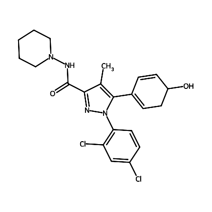 Cc1c(C(=O)NN2CCCCC2)nn(-c2ccc(Cl)cc2Cl)c1C1=CCC(O)C=C1